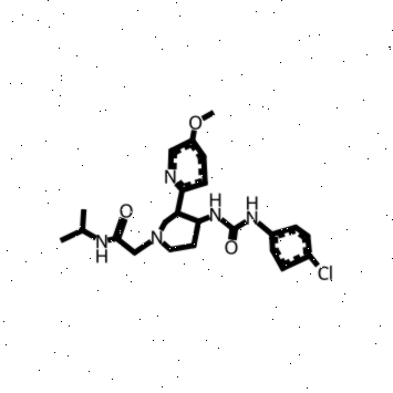 COc1ccc(C2CN(CC(=O)NC(C)C)CCC2NC(=O)Nc2ccc(Cl)cc2)nc1